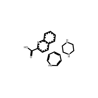 C1=CC=CNC=C1.C1CNCCN1.O=C(O)c1ccc2ccccc2n1